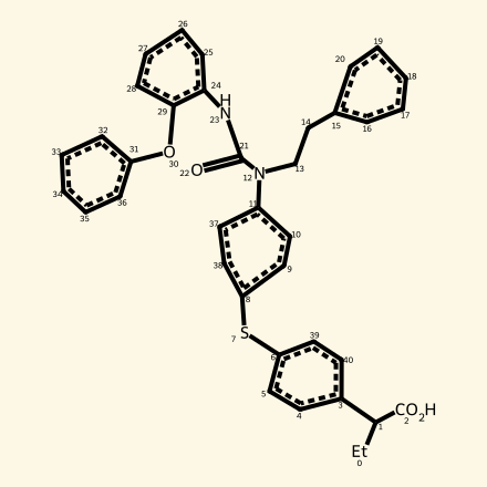 CCC(C(=O)O)c1ccc(Sc2ccc(N(CCc3ccccc3)C(=O)Nc3ccccc3Oc3ccccc3)cc2)cc1